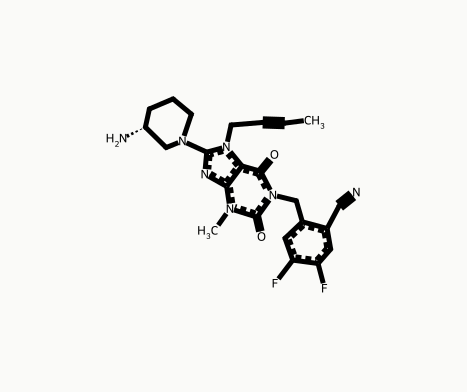 CC#CCn1c(N2CCC[C@@H](N)C2)nc2c1c(=O)n(Cc1cc(F)c(F)cc1C#N)c(=O)n2C